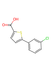 O=C(O)c1ccc(-c2cccc(Cl)c2)s1